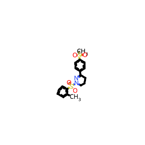 Cc1ccccc1S(=O)(=O)N1CCCC(c2ccc(S(C)(=O)=O)cc2)=N1